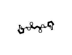 CN1CCC[C@H]1COC(=O)CCC(=O)OC[C@@H]1CCCN1C